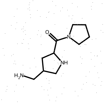 NCC1CNC(C(=O)N2CCCC2)C1